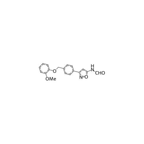 COc1ccccc1OCc1ccc(-c2cc(NC=O)on2)cc1